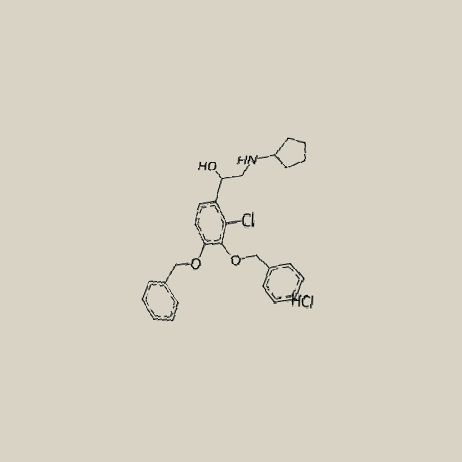 Cl.OC(CNC1CCCC1)c1ccc(OCc2ccccc2)c(OCc2ccccc2)c1Cl